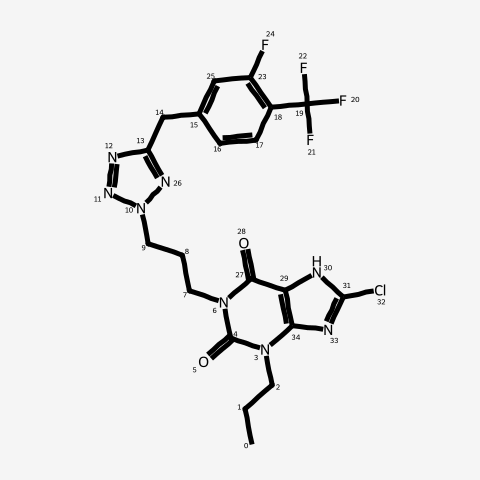 CCCn1c(=O)n(CCCn2nnc(Cc3ccc(C(F)(F)F)c(F)c3)n2)c(=O)c2[nH]c(Cl)nc21